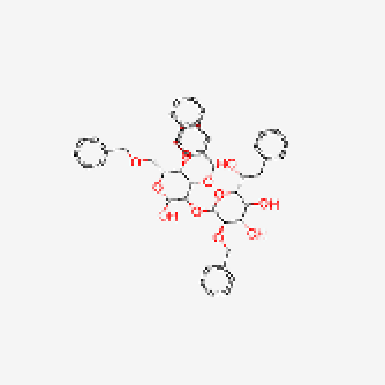 OC(Cc1ccccc1)[C@H]1O[C@H](O[C@@H]2[C@@H](OCc3ccccc3)[C@H](OCc3ccccc3)[C@@H](COCc3ccccc3)O[C@@H]2O)[C@H](OCc2ccccc2)[C@@H](O)[C@@H]1O